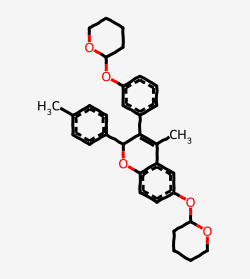 CC1=C(c2cccc(OC3CCCCO3)c2)C(c2ccc(C)cc2)Oc2ccc(OC3CCCCO3)cc21